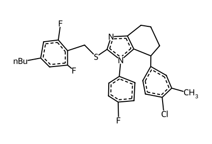 CCCCc1cc(F)c(CSc2nc3c(n2-c2ccc(F)cc2)C(c2ccc(Cl)c(C)c2)CCC3)c(F)c1